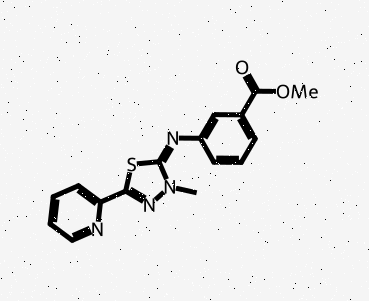 COC(=O)c1cccc(/N=c2/sc(-c3ccccn3)nn2C)c1